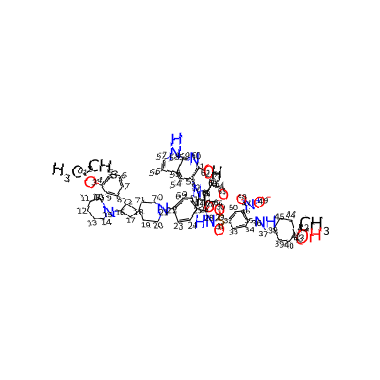 CC(C)Oc1ccccc1[C@H]1CCCCN1C1CC2(CCN(c3ccc(C(=O)NS(=O)(=O)c4ccc(NC[C@H]5CC[C@](C)(O)CC5)c([N+](=O)[O-])c4)c(N4c5cc6cc[nH]c6nc5O[C@H]5COCC[C@@H]54)c3)CC2)C1